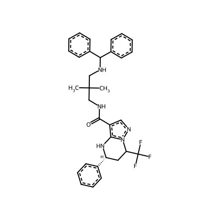 CC(C)(CNC(=O)c1cnn2c1N[C@@H](c1ccccc1)CC2C(F)(F)F)CNC(c1ccccc1)c1ccccc1